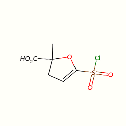 CC1(C(=O)O)CC=C(S(=O)(=O)Cl)O1